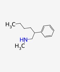 CCCCC(CNC)c1ccccc1